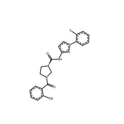 N#Cc1ccccc1C(=O)N1CC[C@@H](C(=O)Nc2ccn(-c3ccccc3F)n2)C1